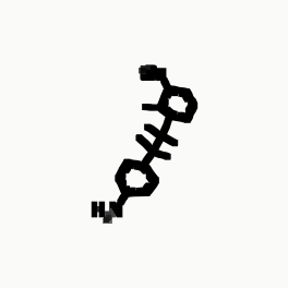 Cc1c(C(C)(C)C)cccc1C(C)(C)C(C)(C)c1ccc(N)cc1